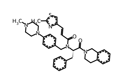 Cc1nc(/C=C/C(=O)N(Cc2ccc(N3CCN(C)CC3)cc2)[C@@H](Cc2ccccc2)C(=O)N2CCc3ccccc3C2)cs1